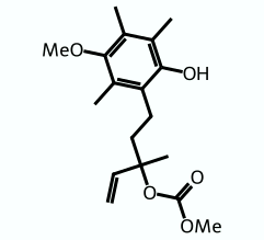 C=CC(C)(CCc1c(C)c(OC)c(C)c(C)c1O)OC(=O)OC